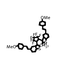 COc1ccc(C=Cc2ccc3sc(C)c(C4=C(c5c(C)sc6ccc(C=Cc7ccc(OC)cc7)cc56)C(F)(F)C(F)(F)C4(F)F)c3c2)cc1